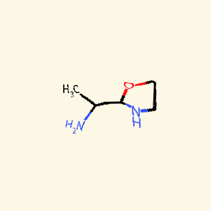 CC(N)C1NCCO1